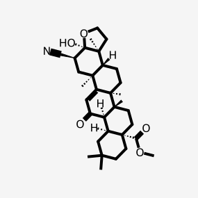 COC(=O)[C@]12CCC(C)(C)C[C@H]1[C@H]1C(=O)C=C3[C@@]4(C)C[C@@H](C#N)[C@@]5(O)OCC[C@@]5(C)[C@@H]4CC[C@@]3(C)[C@]1(C)CC2